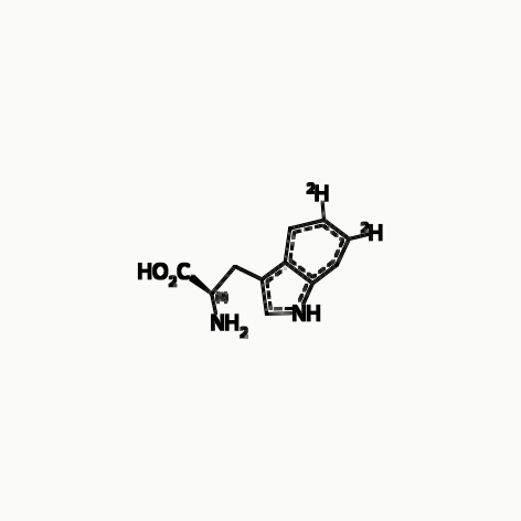 [2H]c1cc2[nH]cc(C[C@@H](N)C(=O)O)c2cc1[2H]